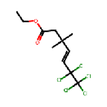 CCOC(=O)CC(C)(C)/C=C/C(Cl)(Cl)C(Cl)(Cl)Cl